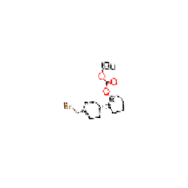 CC(C)(C)OC(=O)O[C@@H]1CCCC[C@@H]1c1ccc(CBr)cc1